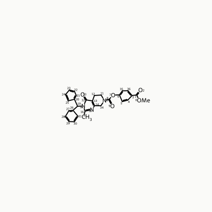 COC(=O)c1ccc(OC(=O)N2CCc3c(nc(C)n(C(c4ccccc4)c4ccccc4)c3=O)C2)cc1